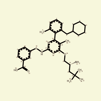 Cc1cccc(CC2CCCCC2)c1-c1nc(NSc2cccc(C(=O)O)c2)nc(OC[C@H](N)CC(C)(C)C)c1C